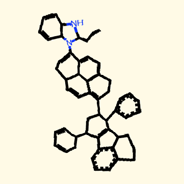 CCC1NC2C=CC=CC2N1C1=CCC2C=CC3=C(C4CC(C5C=CC=CC5)C5=C(C6CCCc7cccc5c76)C4c4ccccc4)CCC4CC=C1C2C34